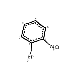 C[CH]c1ccccc1N=O